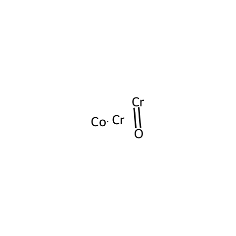 [Co].[Cr].[O]=[Cr]